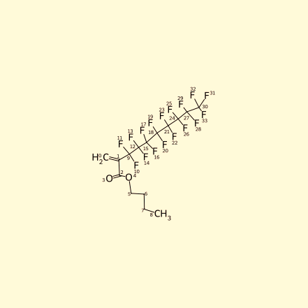 C=C(C(=O)OCCCC)C(F)(F)C(F)(F)C(F)(F)C(F)(F)C(F)(F)C(F)(F)C(F)(F)C(F)(F)F